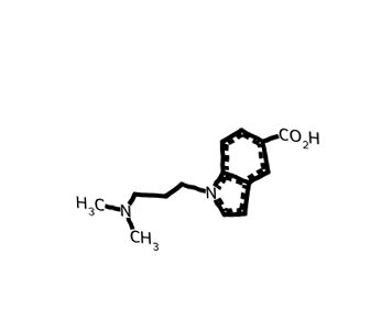 CN(C)CCCn1ccc2cc(C(=O)O)ccc21